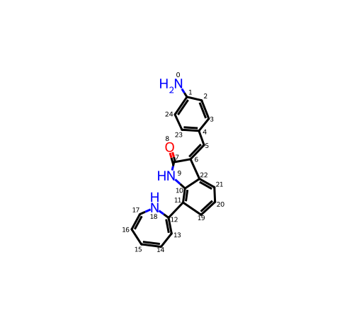 Nc1ccc(C=C2C(=O)Nc3c(C4=CC=CC=CN4)cccc32)cc1